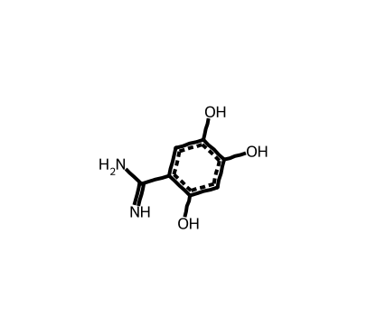 N=C(N)c1cc(O)c(O)cc1O